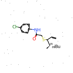 C=CC(SCC(=O)Nc1ccc(Cl)cc1)[C@H](C)[C@H](C)CC